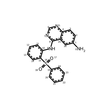 Nc1ccc2ncnc(Nc3ccccc3S(=O)(=O)c3ccccc3)c2c1